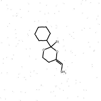 CCC1(C2CCCCC2)OCCC(=C[SiH3])O1